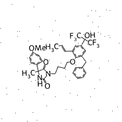 C/C=C/c1cc(C(O)(C(F)(F)F)C(F)(F)F)cc(Cc2ccccc2)c1OCCCCN1C(=O)NC(C)(c2ccc(OC)cc2)C1=O